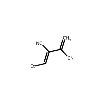 C=C(C#N)C(C#N)=CCC